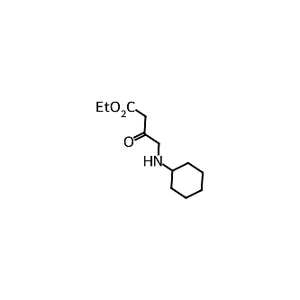 CCOC(=O)CC(=O)CNC1CCCCC1